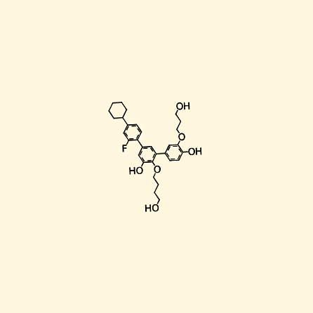 OCCCCOc1c(O)cc(-c2ccc(C3CCCCC3)cc2F)cc1-c1ccc(O)c(OCCCO)c1